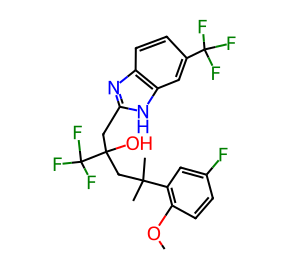 COc1ccc(F)cc1C(C)(C)CC(O)(Cc1nc2ccc(C(F)(F)F)cc2[nH]1)C(F)(F)F